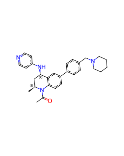 CC(=O)N1c2ccc(-c3ccc(CN4CCCCC4)cc3)cc2[C@H](Nc2ccncc2)C[C@@H]1C